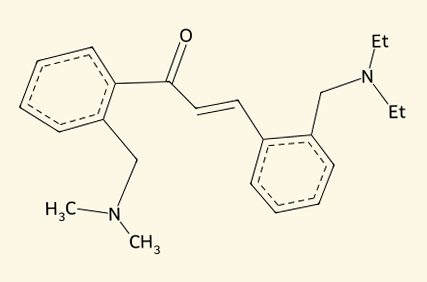 CCN(CC)Cc1ccccc1C=CC(=O)c1ccccc1CN(C)C